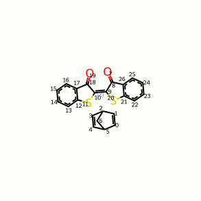 C1=CC2C=CC1C2.O=C1/C(=C2/Sc3ccccc3C2=O)Sc2ccccc21